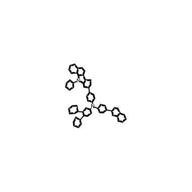 c1ccc(-c2ccc(N(c3ccc(-c4ccc5ccccc5c4)cc3)c3ccc(-c4ccc5c6ccc7ccccc7c6n(-c6ccccc6)c5c4)cc3)cc2-c2ccccc2)cc1